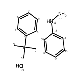 CC(C)(C)c1ccccc1.Cl.NNc1ccccc1